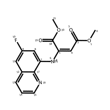 COC(=O)C=C(Nc1cc(F)cc2cccnc12)C(=O)OC